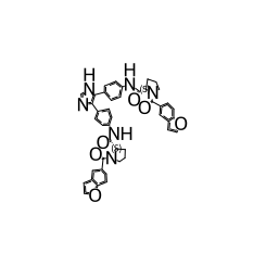 O=C(Nc1ccc(-c2nc[nH]c2-c2ccc(NC(=O)[C@@H]3CCCN3C(=O)c3ccc4occc4c3)cc2)cc1)[C@@H]1CCCN1C(=O)c1ccc2occc2c1